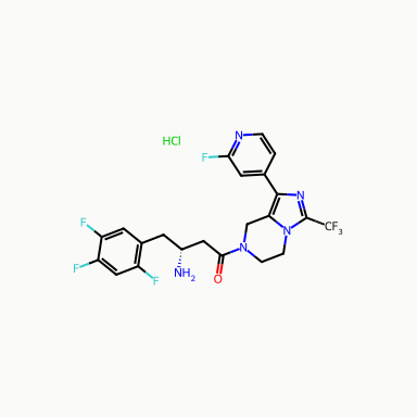 Cl.N[C@@H](CC(=O)N1CCn2c(C(F)(F)F)nc(-c3ccnc(F)c3)c2C1)Cc1cc(F)c(F)cc1F